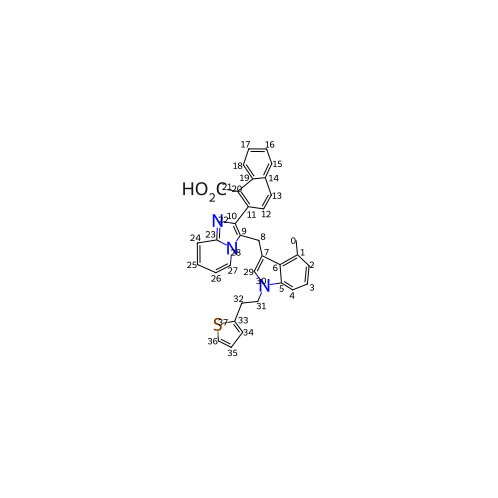 Cc1cccc2c1c(Cc1c(-c3ccc4ccccc4c3C(=O)O)nc3ccccn13)cn2CCc1cccs1